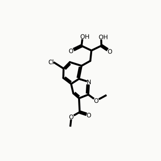 COC(=O)c1cc2cc(Cl)cc(CC(C(=O)O)C(=O)O)c2nc1OC